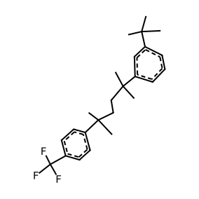 CC(C)(C)c1cccc(C(C)(C)CCC(C)(C)c2ccc(C(F)(F)F)cc2)c1